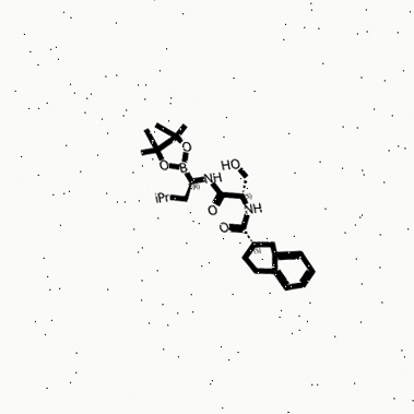 CC(C)C[C@H](NC(=O)[C@H](CO)NC(=O)[C@H]1CCc2ccccc2C1)B1OC(C)(C)C(C)(C)O1